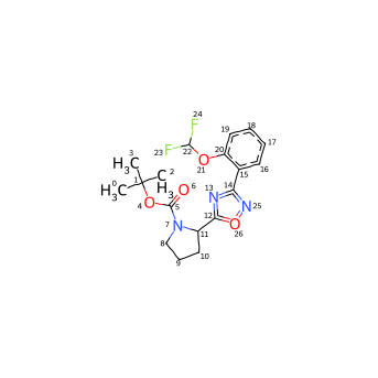 CC(C)(C)OC(=O)N1CCCC1c1nc(-c2ccccc2OC(F)F)no1